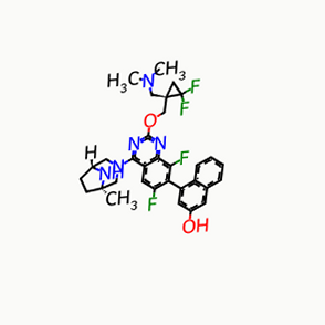 CN(C)C[C@@]1(COc2nc(N3C[C@H]4CC[C@](C)(C3)N4)c3cc(F)c(-c4cc(O)cc5ccccc45)c(F)c3n2)CC1(F)F